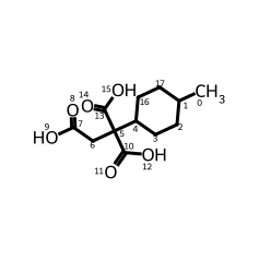 CC1CCC(C(CC(=O)O)(C(=O)O)C(=O)O)CC1